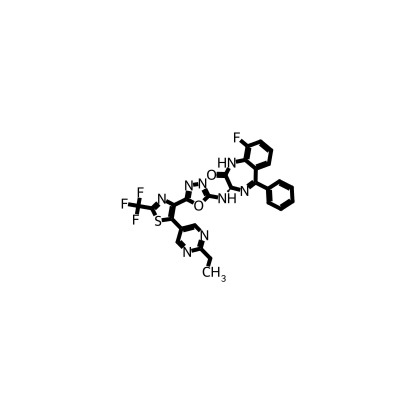 CCc1ncc(-c2sc(C(F)(F)F)nc2-c2nnc(N[C@H]3N=C(c4ccccc4)c4cccc(F)c4NC3=O)o2)cn1